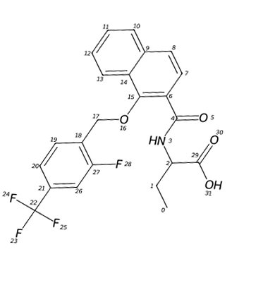 CCC(NC(=O)c1ccc2ccccc2c1OCc1ccc(C(F)(F)F)cc1F)C(=O)O